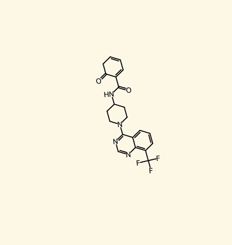 O=C1CC=CC=C1C(=O)NC1CCN(c2ncnc3c(C(F)(F)F)cccc23)CC1